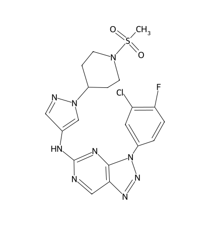 CS(=O)(=O)N1CCC(n2cc(Nc3ncc4nnn(-c5ccc(F)c(Cl)c5)c4n3)cn2)CC1